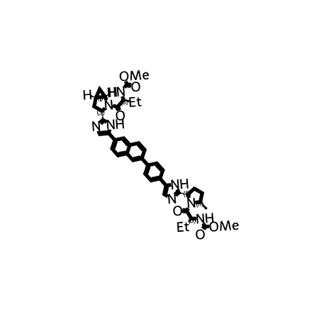 CC[C@H](NC(=O)OC)C(=O)N1[C@H](C)CC[C@H]1c1ncc(-c2ccc(-c3ccc4cc(-c5cnc([C@@H]6C[C@H]7C[C@H]7N6C(=O)[C@H](CC)NC(=O)OC)[nH]5)ccc4c3)cc2)[nH]1